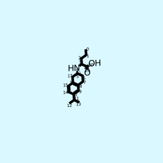 CCCC(N[C@H]1CCc2cc(C(C)C)ccc2C1)C(=O)O